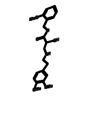 COc1ccccc1COC(=O)C(O)CNCCc1ccc(OC)c(OC)c1